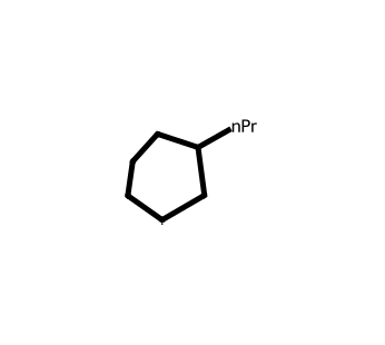 CCCC1C[CH]CCC1